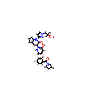 CC(C)(O)Cn1ccc(NC(=O)C(CC2CCCC2)n2ncc(Oc3ccccc3C(=O)N3CCCC3)cc2=O)n1